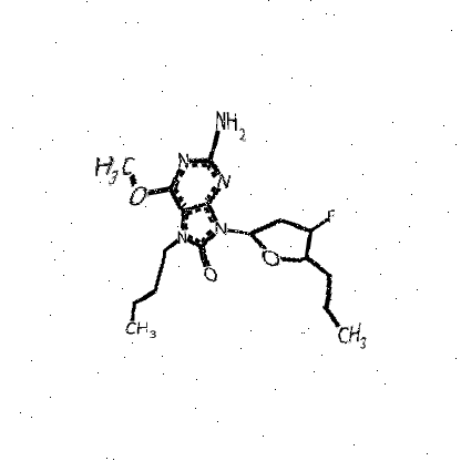 CCCCn1c(=O)n(C2CC(F)C(CCC)O2)c2nc(N)nc(OC)c21